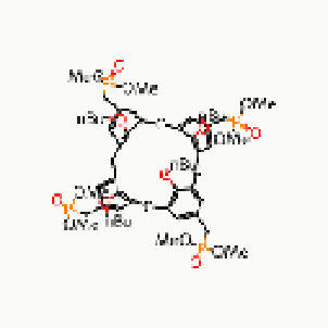 CCCCOc1c2cc(CP(=O)(OC)OC)cc1Cc1cc(CP(=O)(OC)OC)cc(c1OCCCC)Cc1cc(CP(=O)(OC)OC)cc(c1OCCCC)Cc1cc(CP(=O)(OC)OC)cc(c1OCCCC)C2